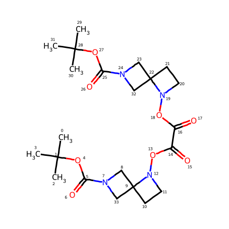 CC(C)(C)OC(=O)N1CC2(CCN2OC(=O)C(=O)ON2CCC23CN(C(=O)OC(C)(C)C)C3)C1